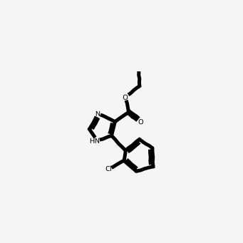 CCOC(=O)c1nc[nH]c1-c1ccccc1Cl